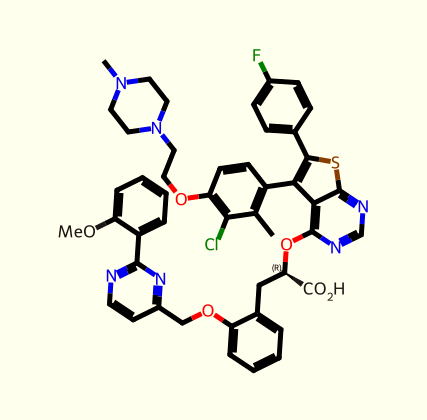 COc1ccccc1-c1nccc(COc2ccccc2C[C@@H](Oc2ncnc3sc(-c4ccc(F)cc4)c(-c4ccc(OCCN5CCN(C)CC5)c(Cl)c4C)c23)C(=O)O)n1